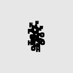 CCC1(N2C(=O)c3c(F)c(F)c(F)c(F)c3C2=O)C(=O)NC(=O)NC1=O